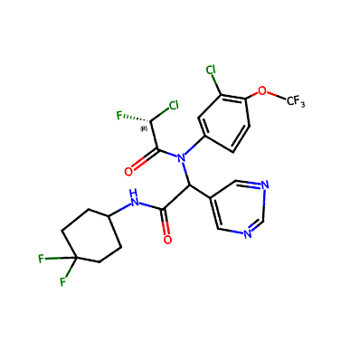 O=C(NC1CCC(F)(F)CC1)C(c1cncnc1)N(C(=O)[C@H](F)Cl)c1ccc(OC(F)(F)F)c(Cl)c1